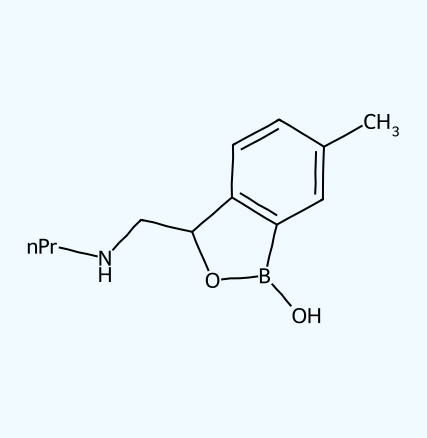 CCCNCC1OB(O)c2cc(C)ccc21